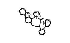 C=C1C2C(CCc3ccc4c(sc5ccccc54)c3-c3cccc[n+]31)c1ccccc1-c1cccc[n+]12